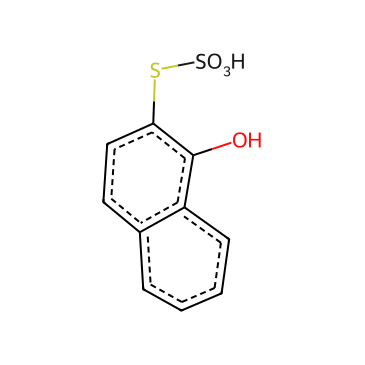 O=S(=O)(O)Sc1ccc2ccccc2c1O